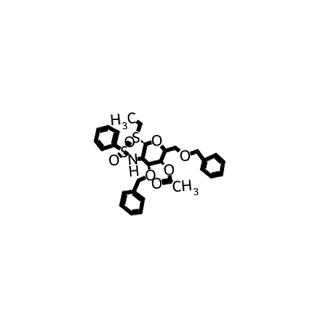 CCS[C@@H]1OC(COCc2ccccc2)[C@@H](OC(C)=O)[C@@H](OCc2ccccc2)C1NS(=O)(=O)c1ccccc1